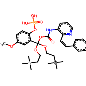 C[Si](C)(C)CCOC(OCC[Si](C)(C)C)(OC(=O)Nc1cccnc1C=Cc1ccccc1)c1cc(OC(F)(F)F)ccc1OP(=O)(O)O